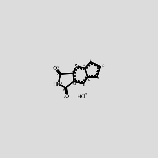 Cl.O=C1NC(=O)c2sc3cccc-3cc21